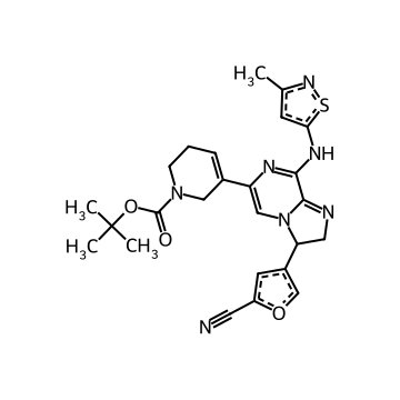 Cc1cc(NC2=NC(C3=CCCN(C(=O)OC(C)(C)C)C3)=CN3C2=NCC3c2coc(C#N)c2)sn1